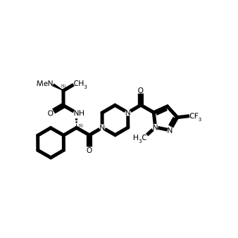 CN[C@@H](C)C(=O)N[C@H](C(=O)N1CCN(C(=O)c2cc(C(F)(F)F)nn2C)CC1)C1CCCCC1